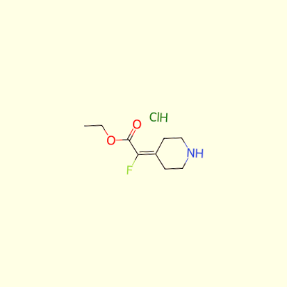 CCOC(=O)C(F)=C1CCNCC1.Cl